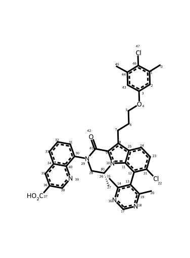 Cc1cc(OCCCc2c3n(c4c(-c5c(C)ncnc5C)c(Cl)ccc24)[C@H](C)CN(c2cccc4cc(C(=O)O)cnc24)C3=O)cc(C)c1Cl